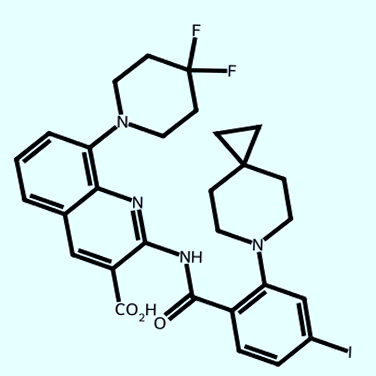 O=C(Nc1nc2c(N3CCC(F)(F)CC3)cccc2cc1C(=O)O)c1ccc(I)cc1N1CCC2(CC1)CC2